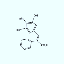 CCCc1c(O)cc(/C=C(/C(=O)O)c2ccccc2)cc1O